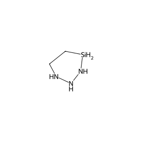 C1C[SiH2]NNN1